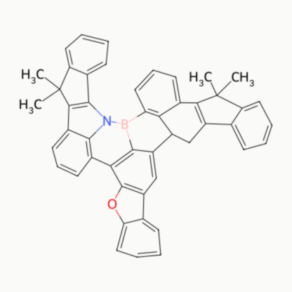 CC1(C)C2=C(CC3c4cc5c(oc6ccccc65)c5c4B(c4cccc2c43)n2c3c(c4cccc-5c42)C(C)(C)c2ccccc2-3)c2ccccc21